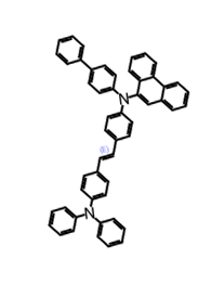 C(=C\c1ccc(N(c2ccc(-c3ccccc3)cc2)c2cc3ccccc3c3ccccc23)cc1)/c1ccc(N(c2ccccc2)c2ccccc2)cc1